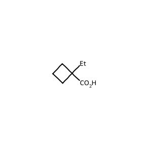 [CH2]CC1(C(=O)O)CCC1